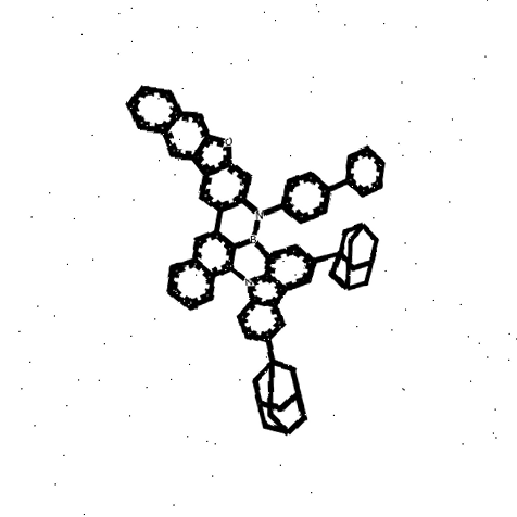 c1ccc(-c2ccc(N3B4c5c(cc6ccccc6c5-n5c6ccc(C78CC9CC(CC(C9)C7)C8)cc6c6cc(C78CC9CC(CC(C9)C7)C8)cc4c65)-c4cc5c(cc43)oc3cc4ccccc4cc35)cc2)cc1